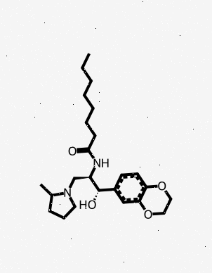 CCCCCCCC(=O)N[C@H](CN1CCCC1C)[C@@H](O)c1ccc2c(c1)OCCO2